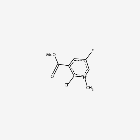 COC(=O)c1cc(F)c[n+](C)c1Cl